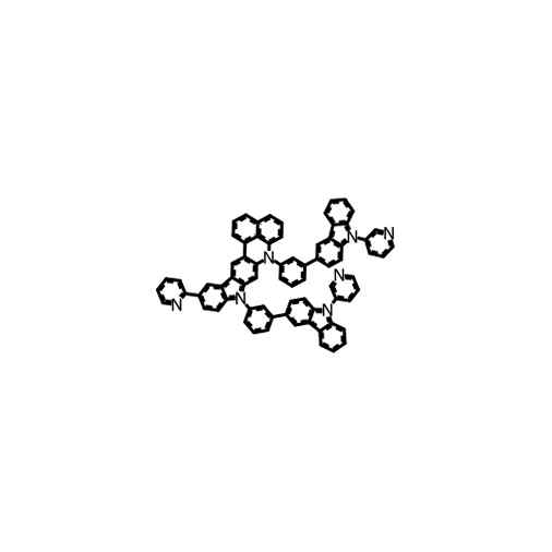 c1ccc(-c2ccc3c(c2)c2cc4c(cc2n3-c2cccc(-c3ccc5c(c3)c3ccccc3n5-c3cccnc3)c2)N(c2cccc(-c3ccc5c(c3)c3ccccc3n5-c3cccnc3)c2)c2cccc3cccc-4c23)nc1